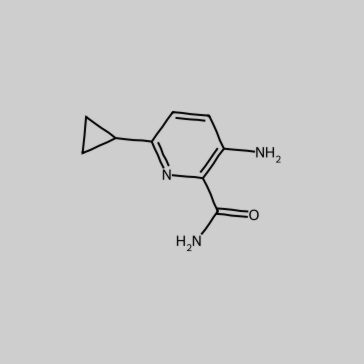 NC(=O)c1nc(C2CC2)ccc1N